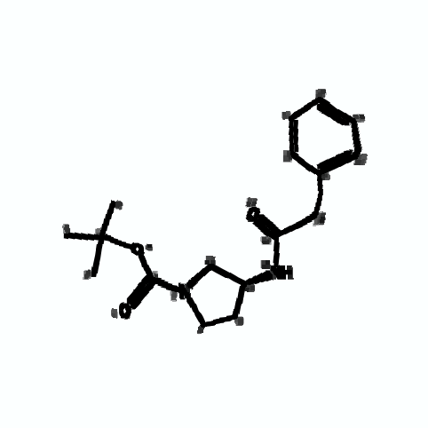 CC(C)(C)OC(=O)N1CC[C@H](NC(=O)Cc2ccccc2)C1